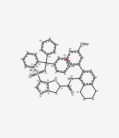 COc1cc(-c2ccc3c(c2NC(=O)C2Cn4ncc(S(N)(=O)=NC(c5ccccc5)(c5ccccc5)c5ccccc5)c4O2)CCCC3)ccn1